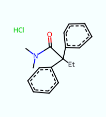 CCC(C(=O)N(C)C)(c1ccccc1)c1ccccc1.Cl